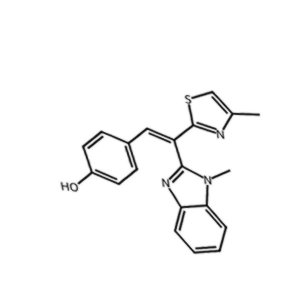 Cc1csc(/C(=C/c2ccc(O)cc2)c2nc3ccccc3n2C)n1